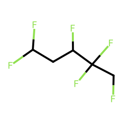 FCC(F)(F)C(F)CC(F)F